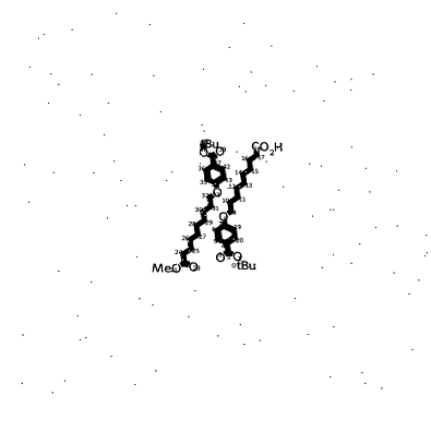 CC(C)(C)OC(=O)c1ccc(OCCCCCCCCCC(=O)O)cc1.COC(=O)CCCCCCCCCOc1ccc(C(=O)OC(C)(C)C)cc1